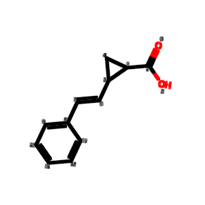 O=C(O)C1CC1/C=C/c1ccccc1